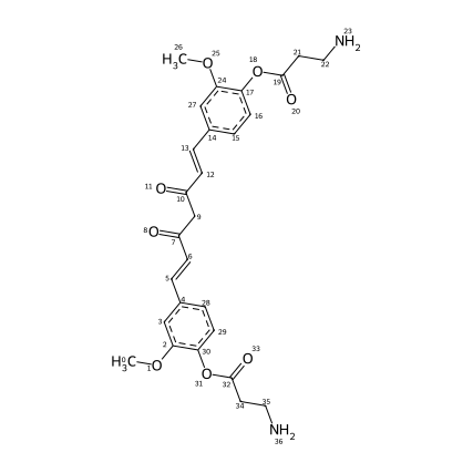 COc1cc(/C=C/C(=O)CC(=O)/C=C/c2ccc(OC(=O)CCN)c(OC)c2)ccc1OC(=O)CCN